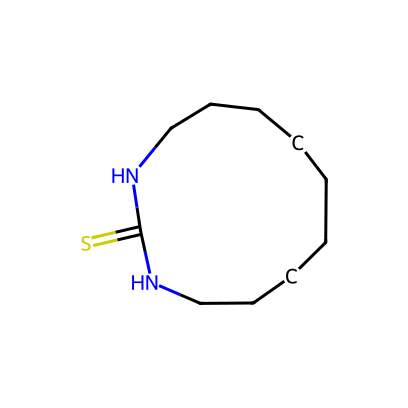 S=C1NCCCCCCCCCN1